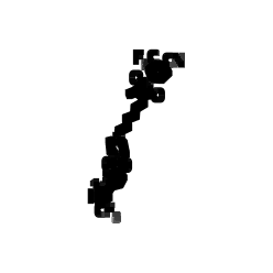 CC1=C(CCCCCCN2CCN(S(=O)(=O)c3ccc(-c4cc(C(F)(F)F)nn4C)s3)CC2)C(=O)N(c2ccc(C#N)c(C(F)(F)F)c2)C1=O